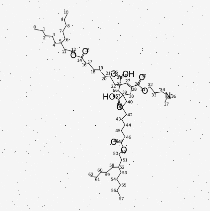 CCCCCC(CCCCC)CCOC(=O)CCCCCCCC1(C(=O)O)C=C(C(=O)OCCCN(C)C)CC(CCCCCCCC(=O)OCCC(CCCCC)CCCCC)(C(=O)O)C1